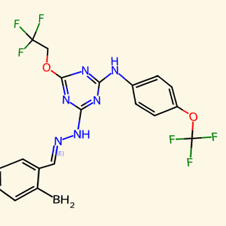 Bc1ccccc1/C=N/Nc1nc(Nc2ccc(OC(F)(F)F)cc2)nc(OCC(F)(F)F)n1